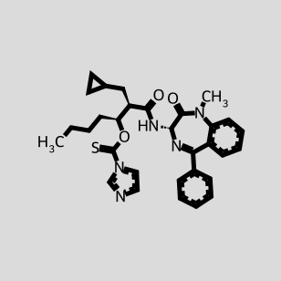 CCCC[C@H](OC(=S)n1ccnc1)[C@@H](CC1CC1)C(=O)N[C@H]1N=C(c2ccccc2)c2ccccc2N(C)C1=O